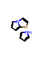 c1cc2sccn2c1.c1cc[nH]c1